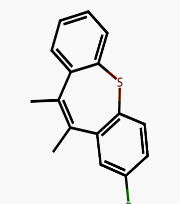 CC1=C(C)c2cc(Br)ccc2Sc2ccccc21